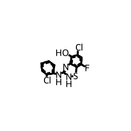 Oc1c(Cl)cc(F)c2c1N=C(Nc1ccccc1Cl)NS2